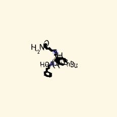 CCCCB1C[C@@H]2C[C@H](C1)[C@H](C/C=C\CCCC(N)=O)[C@H]2/C=C/[C@@H](O)CCc1ccccc1